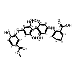 COC(=O)c1ccc(O)c(Nc2cc(O)c(-c3c(O)cc(Nc4ccccc4C(=O)O)cc3O)c(O)c2)c1